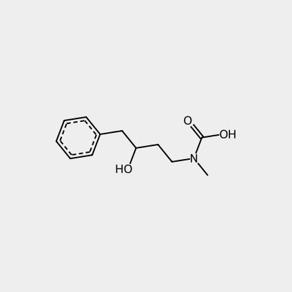 CN(CCC(O)Cc1ccccc1)C(=O)O